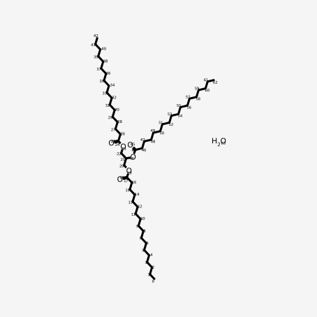 CCCCCCCCCCCCCCCCCC(=O)OCC(COC(=O)CCCCCCCCCCCCCCCCC)OC(=O)CCCCCCCCCCCCCCCCC.O